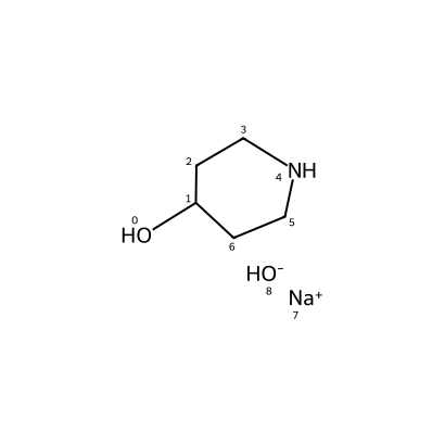 OC1CCNCC1.[Na+].[OH-]